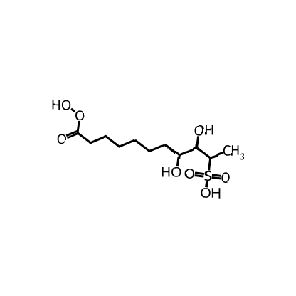 CC(C(O)C(O)CCCCCCC(=O)OO)S(=O)(=O)O